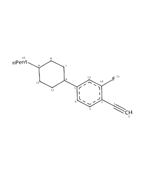 C#Cc1ccc(C2CCC(CCCCC)CC2)cc1F